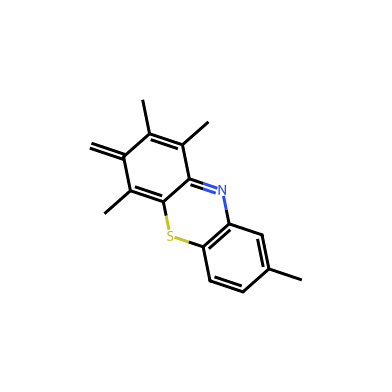 C=c1c(C)c(C)c2c(c1C)Sc1ccc(C)cc1N=2